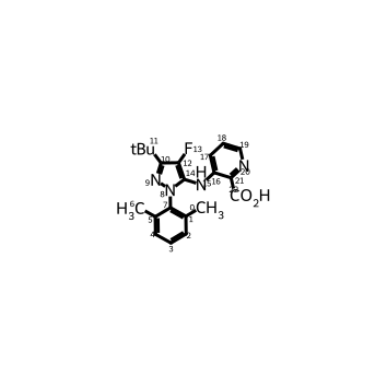 Cc1cccc(C)c1-n1nc(C(C)(C)C)c(F)c1Nc1cccnc1C(=O)O